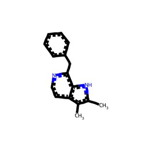 Cc1[nH]c2c(Cc3ccccc3)nccc2c1C